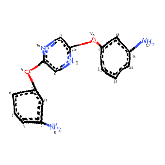 Nc1cccc(Oc2cnc(Oc3cccc(N)c3)cn2)c1